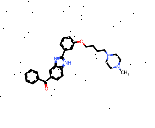 CN1CCN(CCCCOc2cccc(-c3nc4cc(C(=O)c5ccccc5)ccc4[nH]3)c2)CC1